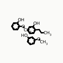 CCCc1ccccc1O.COc1cccc(O)c1.COc1ccccc1O